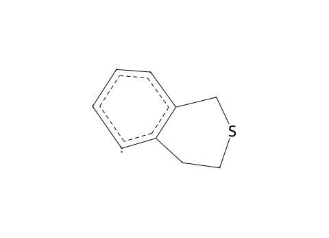 [c]1cccc2c1CCSC2